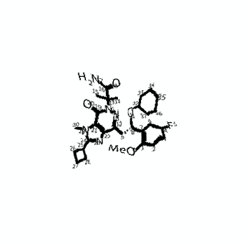 COc1ccc(F)cc1[C@H](Cc1nn(C(C)(C)C(N)=O)c(=O)c2c1nc(C1CCC1)n2C)OC1CCCCC1